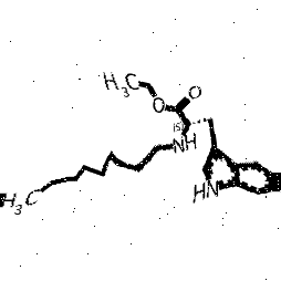 CCCCCCCCN[C@@H](Cc1c[nH]c2ccccc12)C(=O)OCC